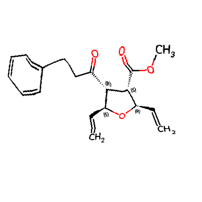 C=C[C@@H]1O[C@H](C=C)[C@@H](C(=O)OC)[C@H]1C(=O)CCc1ccccc1